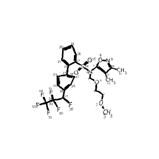 COCCOCN(c1onc(C)c1C)S(=O)(=O)c1ccccc1-c1ccc(C(F)C(F)(F)C(F)(F)F)cc1